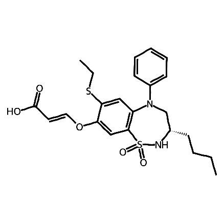 CCCC[C@H]1CN(c2ccccc2)c2cc(SCC)c(O/C=C/C(=O)O)cc2S(=O)(=O)N1